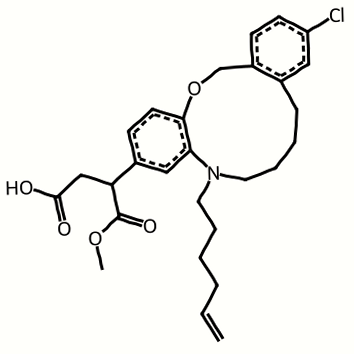 C=CCCCCN1CCCCc2cc(Cl)ccc2COc2ccc(C(CC(=O)O)C(=O)OC)cc21